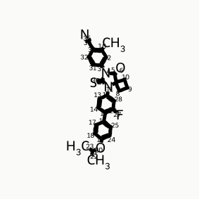 Cc1cc(N2C(=O)C3(CCC3)N(c3ccc(-c4ccc(OC(C)C)cc4)c(F)c3)C2=S)ccc1C#N